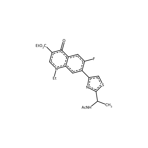 CCOC(=O)c1cn(CC)c2cc(-c3csc(C(C)NC(C)=O)n3)c(F)cc2c1=O